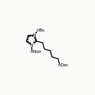 CCCCCCCCCCCCCCCc1n(CCCC)cc[n+]1CCCCCCCCC